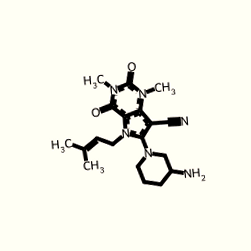 CC(C)=CCn1c(N2CCCC(N)C2)c(C#N)c2c1c(=O)n(C)c(=O)n2C